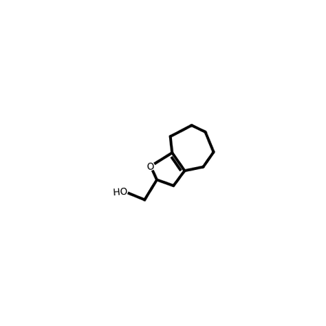 OCC1CC2=C(CCCCC2)O1